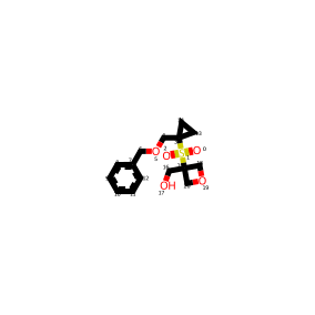 O=S(=O)(C1(COCc2ccccc2)CC1)C1(CO)COC1